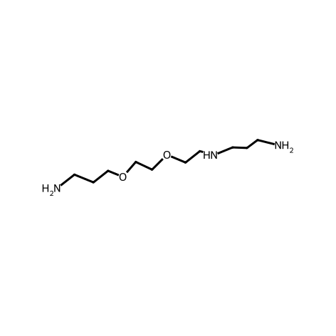 NCCCNCCOCCOCCCN